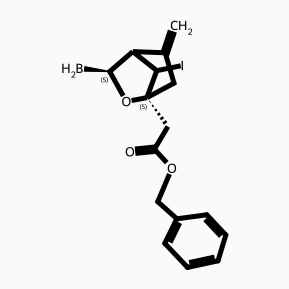 B[C@@H]1O[C@]2(CC(=O)OCc3ccccc3)CC(=C)C1C2I